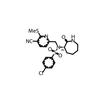 CSc1nc(CN([C@@H]2CCCCNC2=O)S(=O)(=O)c2ccc(Cl)cc2)ccc1C#N